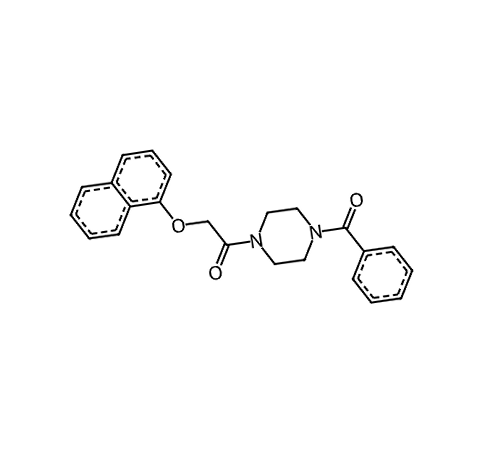 O=C(COc1cccc2ccccc12)N1CCN(C(=O)c2ccccc2)CC1